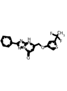 CC(F)(F)c1cc(OCc2cc(=O)n3nc(-c4ccccc4)nc3[nH]2)cs1